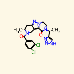 C[C@@H]1Cc2nn3c(c2CN1C(=O)c1ccc(Cl)c(Cl)c1)C(=O)N([C@H](C)c1c[nH]nn1)CC3